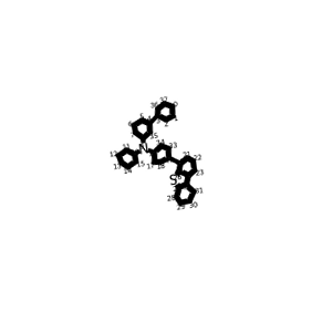 c1ccc(-c2cccc(N(c3ccccc3)c3ccc(-c4cccc5c4sc4ccccc45)cc3)c2)cc1